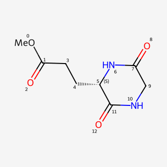 COC(=O)CC[C@@H]1NC(=O)CNC1=O